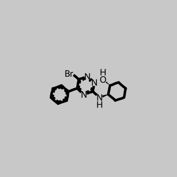 O[C@@H]1CCCC[C@H]1Nc1nnc(Br)c(-c2ccccc2)n1